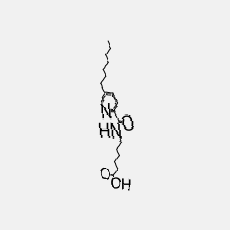 CCCCCCCc1ccc(C(=O)NCCCCCC(=O)O)nc1